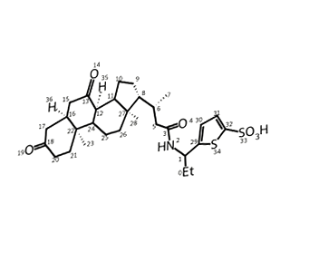 CCC(NC(=O)C[C@@H](C)[C@H]1CCC2[C@@H]3C(=O)C[C@@H]4CC(=O)CC[C@]4(C)C3CC[C@@]21C)c1ccc(S(=O)(=O)O)s1